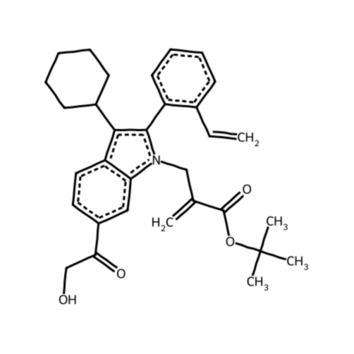 C=Cc1ccccc1-c1c(C2CCCCC2)c2ccc(C(=O)CO)cc2n1CC(=C)C(=O)OC(C)(C)C